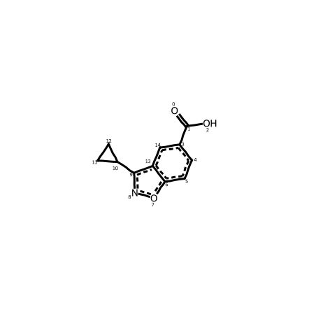 O=C(O)c1ccc2onc(C3CC3)c2c1